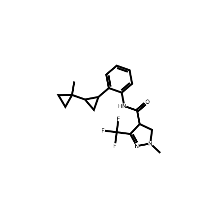 CN1CC(C(=O)Nc2ccccc2C2CC2C2(C)CC2)C(C(F)(F)F)=N1